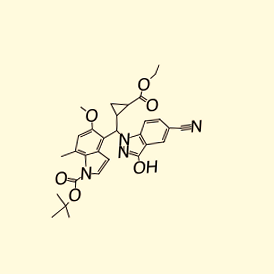 CCOC(=O)C1CC1C(c1c(OC)cc(C)c2c1ccn2C(=O)OC(C)(C)C)n1nc(O)c2cc(C#N)ccc21